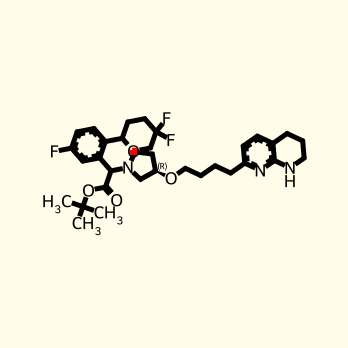 CC(C)(C)OC(=O)C(c1cc(F)ccc1C1CCC(F)(F)CO1)N1CC[C@@H](OCCCCc2ccc3c(n2)NCCC3)C1